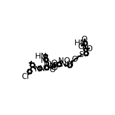 CC1(C)CCC(CN2CCN(c3ccc(C(=O)NS(=O)(=O)c4ccc(NCC5CCCN(CCOCCCSc6cccc7c6CN(C6CCC(=O)NC6=O)C7=O)C5)c([N+](=O)[O-])c4)c(Oc4cnc5[nH]ccc5c4)c3)CC2)=C(c2ccc(Cl)cc2)C1